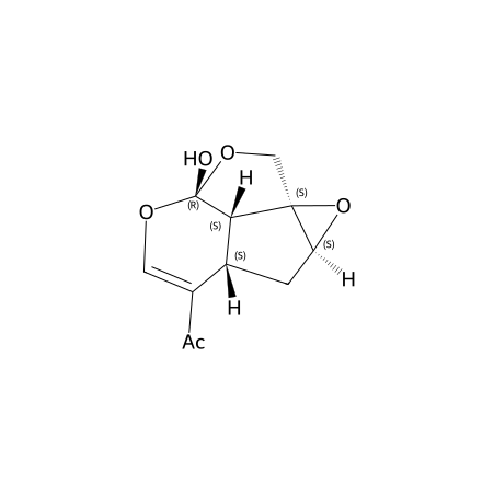 CC(=O)C1=CO[C@]2(O)OC[C@]34O[C@H]3C[C@H]1[C@H]24